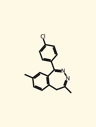 CC1=NN=C(c2ccc(Cl)cc2)c2cc(C)ccc2C1